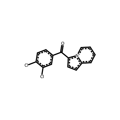 O=C(c1ccc(Cl)c(Cl)c1)c1ccc2ccccn12